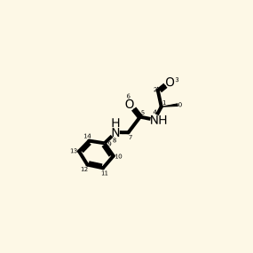 C[C@H]([C]=O)NC(=O)CNc1ccccc1